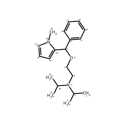 CC(C)N(CCOC(c1ccccc1)c1ccnn1C)C(C)C